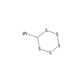 CC(C)C1SSSSS1